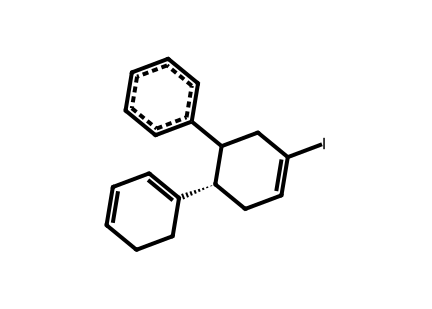 IC1=CC[C@H](C2=CC=CCC2)C(c2ccccc2)C1